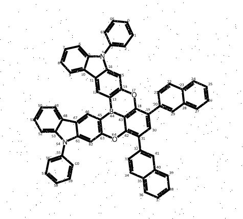 c1ccc(-n2c3ccccc3c3cc4c(cc32)Oc2c(-c3ccc5ccccc5c3)cc(-c3ccc5ccccc5c3)c3c2B4c2cc4c5ccccc5n(-c5ccccc5)c4cc2O3)cc1